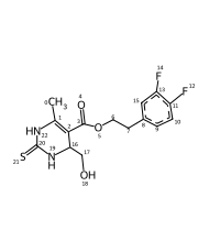 CC1=C(C(=O)OCCc2ccc(F)c(F)c2)C(CO)NC(=S)N1